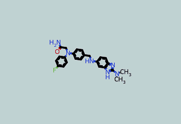 CN(C)c1nc2ccc(NCc3ccc(N(CC(N)=O)c4ccc(F)cc4)cc3)cc2[nH]1